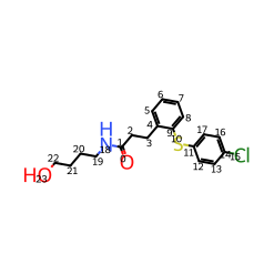 O=C(CCc1ccccc1Sc1ccc(Cl)cc1)NCCCCO